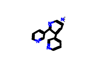 [N].c1cncc(-c2cccnc2-c2cccnc2)c1